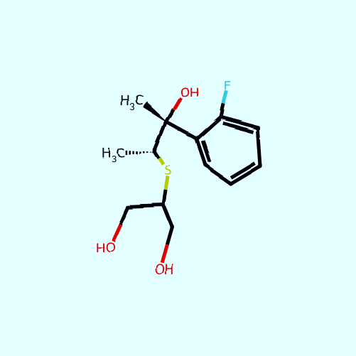 C[C@@H](SC(CO)CO)[C@](C)(O)c1ccccc1F